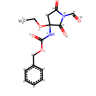 CCO[C@]1(NC(=O)OCc2ccccc2)CC(=O)N(C=O)C1=O